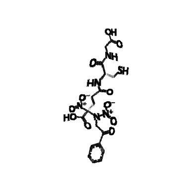 O=C(O)CNC(=O)[C@H](CS)NC(=O)CC[C@@](C(=O)O)(N(CC(=O)c1ccccc1)[N+](=O)[O-])[N+](=O)[O-]